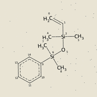 C=C[Si](C)(C)O[Si](C)(C)c1ccccc1